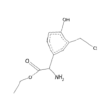 CCOC(=O)C(N)c1ccc(O)c(CCl)c1